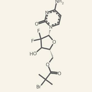 CC(C)(Br)C(=O)OC[C@H]1O[C@@H](n2ccc(N)nc2=O)C(F)(F)C1O